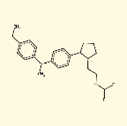 CCc1ccc(C(C)c2ccc(N3CCC[C@H]3CCOC(F)F)cc2)cc1